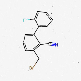 N#Cc1c(CBr)cccc1-c1ccccc1F